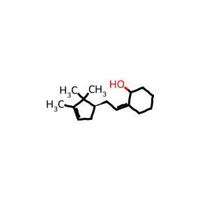 CC1=CC[C@H](CC=C2CCCCC2O)C1(C)C